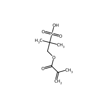 C=C(C)C(=O)OCC(C)(C)S(=O)(=O)O